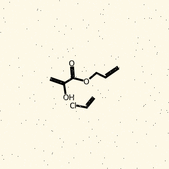 C=CCOC(=O)C(=C)O.C=CCl